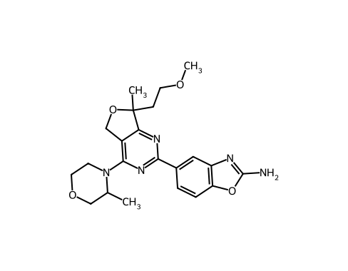 COCCC1(C)OCc2c(N3CCOCC3C)nc(-c3ccc4oc(N)nc4c3)nc21